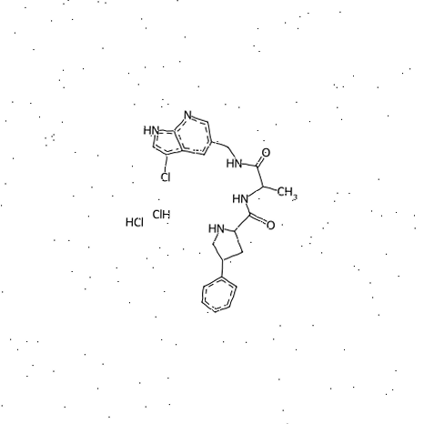 CC(NC(=O)C1CC(c2ccccc2)CN1)C(=O)NCc1cnc2[nH]cc(Cl)c2c1.Cl.Cl